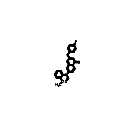 COc1ccccc1N(C=O)c1ccn2c(=O)cc(Cc3ccc(F)cc3)cc2c1